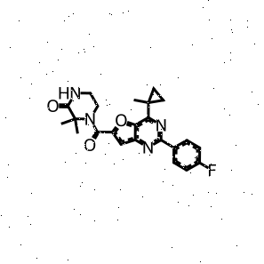 CC1(c2nc(-c3ccc(F)cc3)nc3cc(C(=O)N4CCNC(=O)C4(C)C)oc23)CC1